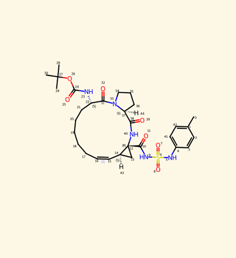 Cc1ccc(NS(=O)(=O)NC(=O)[C@@]23C[C@H]2/C=C\CCCCC[C@H](NC(=O)OC(C)(C)C)C(=O)N2CCC[C@H]2C(=O)N3)cc1